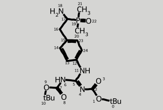 CC(C)(C)OC(=O)/N=C(/NC(=O)OC(C)(C)C)Nc1ccc(CC(N)P(C)(C)=O)cc1